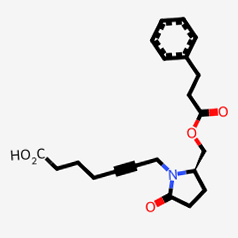 O=C(O)CCCC#CCN1C(=O)CC[C@@H]1COC(=O)CCc1ccccc1